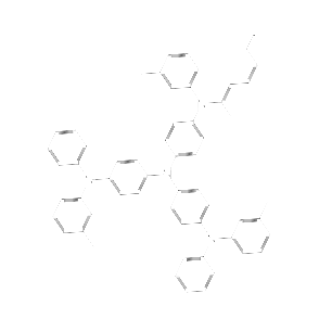 C/C(=C\C=C/CI)N(c1ccc(N(c2ccc(N(c3ccccc3)c3cccc(C)c3)cc2)c2ccc(N(c3ccccc3)c3cccc(C)c3)cc2)cc1)c1cccc(C)c1